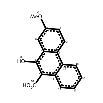 COc1ccc2c(c1)c(O)c(C(=O)O)c1ccccc12